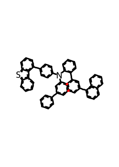 c1ccc(-c2cccc(N(c3ccc(-c4cccc5sc6ccccc6c45)cc3)c3ccccc3-c3cccc(-c4cccc5ccccc45)c3)c2)cc1